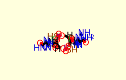 Nc1nc2c(nnn2C2O[C@@H]3COP(=O)(S)O[C@@H]4[C@@H](COP(=O)(S)O[C@@H]2[C@H]3F)OC[C@@]4(F)n2cnc3c(=O)[nH]cnc32)c(=O)[nH]1